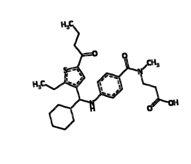 CCCC(=O)c1cc(C(Nc2ccc(C(=O)N(C)CCC(=O)O)cc2)C2CCCCC2)c(CC)s1